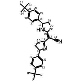 CC(C)(C)c1ccc(C2COC(/C(C#N)=C3\N[C@@H](c4ccc(C(C)(C)C)cc4)CO3)=N2)cc1